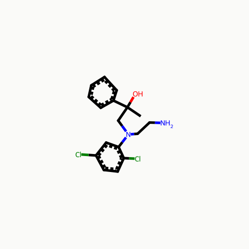 CC(O)(CN(CCN)c1cc(Cl)ccc1Cl)c1ccccc1